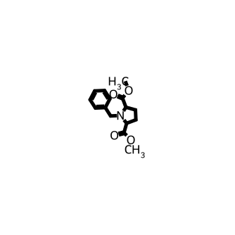 COC(=O)C1CCC(C(=O)OC)N1Cc1ccccc1